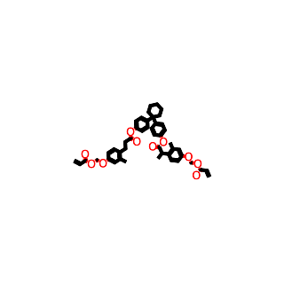 C=CC(=O)OCOc1ccc(CCC(=O)Oc2ccc(C3(c4ccc(OC(=O)C(C)c5ccc(OCOC(=O)C=C)cc5C)cc4)CCCCC3)cc2)c(C)c1